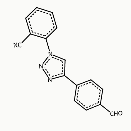 N#Cc1ccccc1-n1cc(-c2ccc(C=O)cc2)nn1